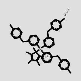 CC1=C(C)C(C)([Si](c2cccc(Cc3ccc(C)cc3)c2)(c2cccc(Cc3ccc(C)cc3)c2)c2cccc(Cc3ccc(C)cc3)c2)[C]([Ti+3])=C1C.[Cl-].[Cl-].[Cl-]